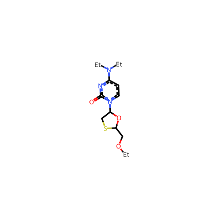 CCOCC1OC(n2ccc(N(CC)CC)nc2=O)CS1